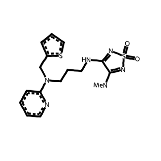 CNC1=NS(=O)(=O)N=C1NCCCN(Cc1cccs1)c1ccccn1